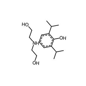 CC(C)c1cccc(C(C)C)c1O.OCCNCCO